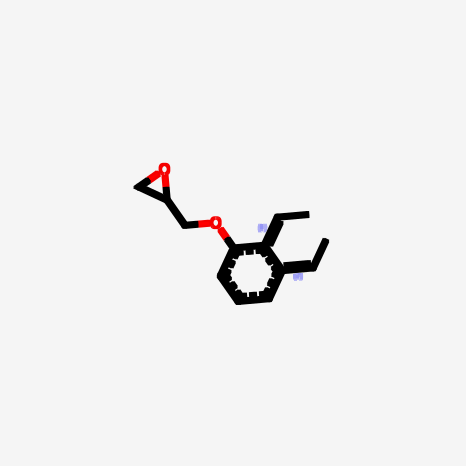 C/C=c1/cccc(OCC2CO2)/c1=C/C